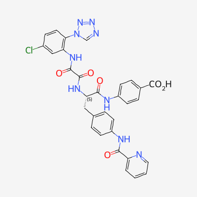 O=C(Nc1cc(Cl)ccc1-n1cnnn1)C(=O)N[C@@H](Cc1ccc(NC(=O)c2ccccn2)cc1)C(=O)Nc1ccc(C(=O)O)cc1